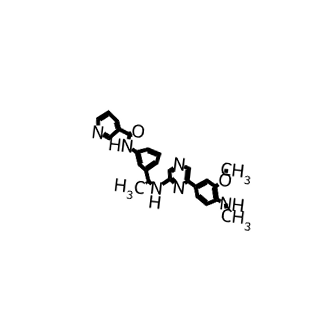 CNc1ccc(-c2cncc(N[C@@H](C)c3cccc(NC(=O)c4cccnc4)c3)n2)cc1OC